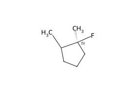 CC1CCC[C@]1(C)F